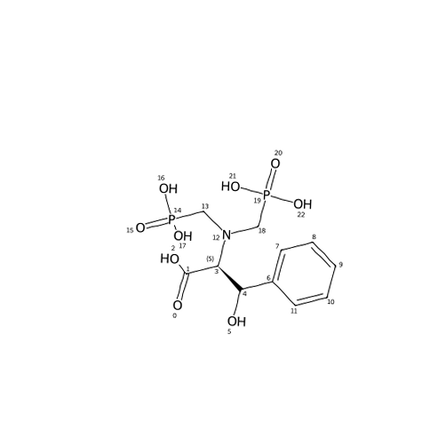 O=C(O)[C@H](C(O)c1ccccc1)N(CP(=O)(O)O)CP(=O)(O)O